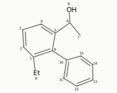 CCc1cccc(C(C)O)c1-c1ccccc1